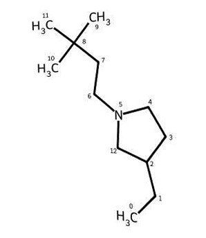 CCC1CCN(CCC(C)(C)C)C1